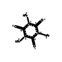 CCCn1c(=O)n(CCC)c(=O)n(CCC)c1=O